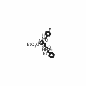 CCOC(=O)n1nc(NC(=O)c2ccc(F)cc2)c2cc(C(=O)NC(CC)(CC)c3ccccc3)sc21